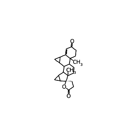 CC12CCC(=O)C=C1C1CC1C1C2CCC2(C)C1C1CC1[C@@]21CCC(=O)O1